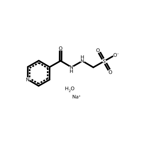 O.O=C(NNCS(=O)(=O)[O-])c1ccncc1.[Na+]